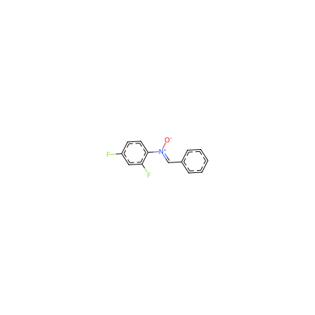 [O-][N+](=Cc1ccccc1)c1ccc(F)cc1F